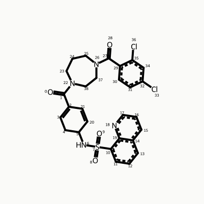 O=C(C1=CCC(NS(=O)(=O)c2cccc3cccnc23)C=C1)N1CCCN(C(=O)c2ccc(Cl)cc2Cl)CC1